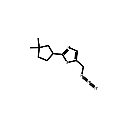 CC1(C)CCC(c2ncc(CN=[N+]=[N-])s2)C1